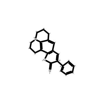 O=c1oc2c3c4c(cc2cc1-c1ccccc1)CCCN4CCC3